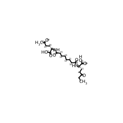 CCC(=O)CC[C@H](NC(=O)CCCCCCC(=O)N[C@@H](CCC(C)=O)C(=O)O)C(=O)O